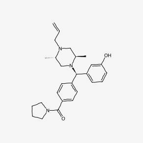 C=CCN1C[C@@H](C)N([C@H](c2ccc(C(=O)N3CCCC3)cc2)c2cccc(O)c2)C[C@@H]1C